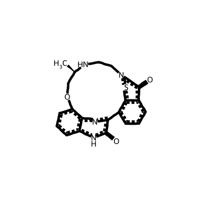 C[C@@H]1COc2cccc3[nH]c(=O)c(nc23)-c2cccc3c(=O)n(sc23)CCN1